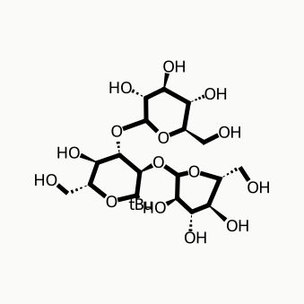 CC(C)(C)C1O[C@H](CO)[C@@H](O)[C@H](OC2O[C@H](CO)[C@@H](O)[C@H](O)[C@H]2O)[C@H]1OC1O[C@H](CO)[C@@H](O)[C@H](O)[C@H]1O